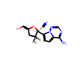 C[C@@]1(F)C/C(=C\O)O[C@@]1(C#N)c1ccc2c(N)ncnn12